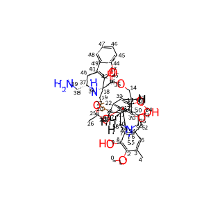 COc1c(C)cc2c(c1O)[C@H]1[C@H]3C([C@H]4COC(=O)[C@]5(CS[C@@H]3c3c(OC(C)=O)c(C)c6c(c34)OCO6)N[C@H](CN)Cc3c5oc4ccccc34)C(O)(C2)CN1C